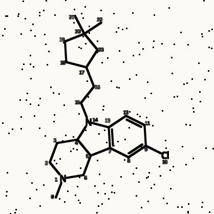 CN1CCC2C(C1)c1cc(Cl)ccc1N2CCC1CCC(C)(C)C1